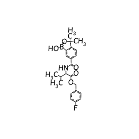 CC(C)C(NC(=O)c1ccc2c(c1)B(O)OC2(C)C)C(=O)OCc1ccc(F)cc1